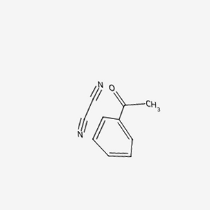 CC(=O)c1ccccc1.N#CC#N